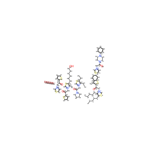 CCCCCc1sc[n+](CC(=O)c2sc3ccccc3c2C)c1CCCCC.CCc1sc[n+](CC(=O)N2CCCC2)c1CC.Cc1c(CCCCCCO)sc[n+]1CC(=O)c1cccs1.O=C(C[n+]1ccsc1)N1CCN(c2ccccc2)CC1.O=C(C[n+]1ccsc1)c1cccs1.[Br-].[Br-].[Br-].[Br-].[Br-]